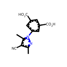 Cc1nn(-c2cc(C(=O)O)cc(C(=O)O)c2)c(C)c1C#N